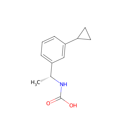 C[C@@H](NC(=O)O)c1cccc(C2CC2)c1